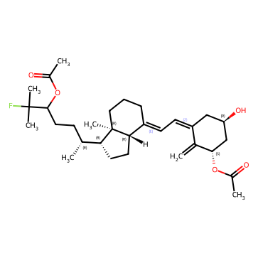 C=C1/C(=C\C=C2/CCC[C@]3(C)[C@@H]([C@H](C)CCC(OC(C)=O)C(C)(C)F)CC[C@@H]23)C[C@@H](O)C[C@@H]1OC(C)=O